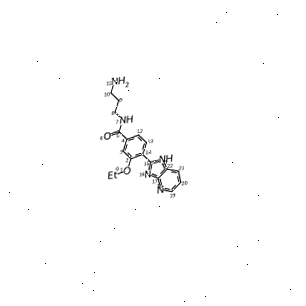 CCOc1cc(C(=O)NCCCN)ccc1-c1nc2ncccc2[nH]1